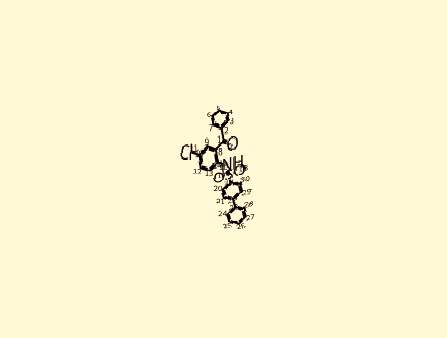 O=C(c1ccccc1)c1cc(Cl)ccc1NS(=O)(=O)c1ccc(-c2ccccc2)cc1